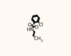 CCCNS(=O)(=O)c1cc[c]cc1Cl